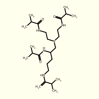 C=C(NCCCC(CN(CCNC(=O)C(C)C)CCNC(=O)C(C)C)NC(=O)C(C)C)C(C)C